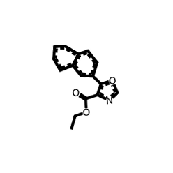 CCOC(=O)c1ncoc1-c1ccc2ccccc2c1